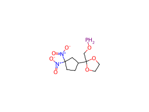 O=[N+]([O-])C1([N+](=O)[O-])CCC(C2(COP)OCCO2)C1